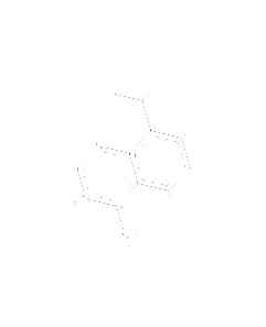 CC(C)c1cccc2c(N)ncnc12